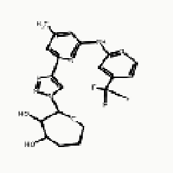 Cc1cc(Nc2cc(C(F)(F)F)ccn2)nc(-c2cn(C3CCCCC(O)C3O)nn2)c1